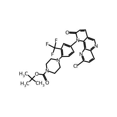 CC(C)(C)OC(=O)N1CCN(c2ccc(-n3c(=O)ccc4cnc5ccc(Cl)nc5c43)cc2C(F)(F)F)CC1